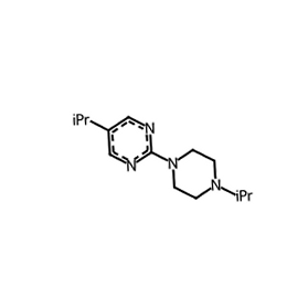 CC(C)c1cnc(N2CCN(C(C)C)CC2)nc1